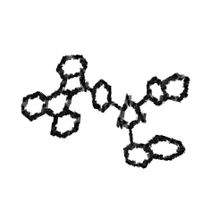 c1ccc2cc(-c3nc(-c4ccc(-n5c6ccccc6c6c7ccccc7c7ccccc7c65)cc4)nc(-c4cccc5ccccc45)n3)ccc2c1